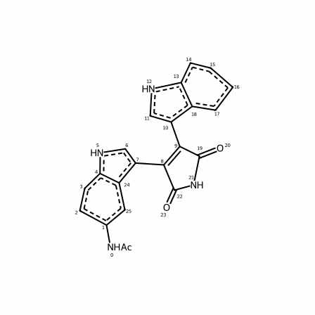 CC(=O)Nc1ccc2[nH]cc(C3=C(c4c[nH]c5ccccc45)C(=O)NC3=O)c2c1